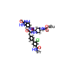 CC(C)NC(=O)c1ccc(-c2ccc(CC(NC(=O)[C@H]3CC[C@H](CNC(=O)OC(C)(C)C)CC3)C(=O)Nc3ccc4[nH]c(=O)[nH]c4c3)cc2)c(Cl)c1